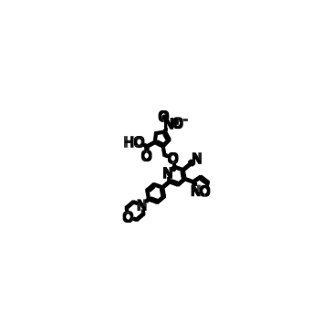 N#Cc1c(-c2ccon2)cc(-c2ccc(N3CCOCC3)cc2)nc1OCC1=C(C(=O)O)CC([N+](=O)[O-])=C1